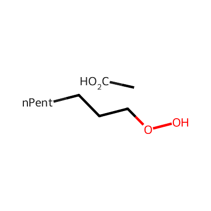 CC(=O)O.CCCCCCCCOO